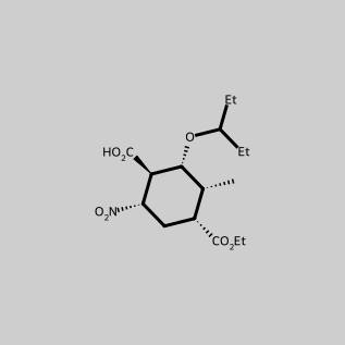 CCOC(=O)[C@@H]1C[C@H]([N+](=O)[O-])[C@@H](C(=O)O)[C@H](OC(CC)CC)[C@@H]1C